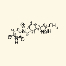 Cc1cc(-c2ccc3c(c2)CN(C2CCC(=O)NC2=O)C3=O)n[nH]1